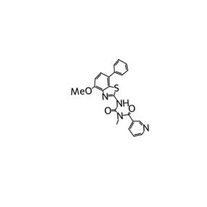 COc1ccc(-c2ccccc2)c2sc(NC(=O)N(C)C(=O)c3cccnc3)nc12